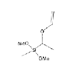 C=COC(C)[Si](C)(OC)OC